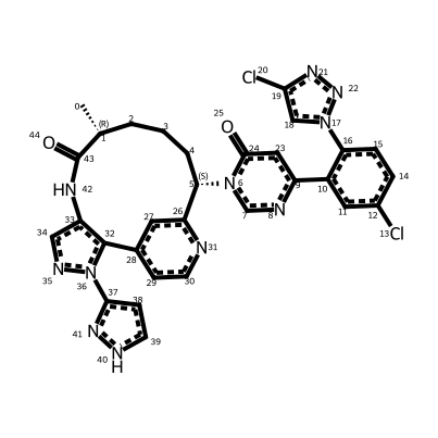 C[C@@H]1CCC[C@H](n2cnc(-c3cc(Cl)ccc3-n3cc(Cl)nn3)cc2=O)c2cc(ccn2)-c2c(cnn2-c2cc[nH]n2)NC1=O